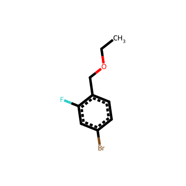 CCOCc1ccc(Br)cc1F